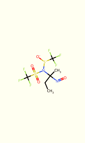 CCC(C)(N=O)N([S+]([O-])C(F)(F)F)S(=O)(=O)C(F)(F)F